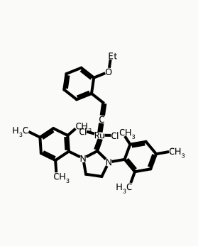 CCOc1ccccc1C=[C]=[Ru]([Cl])([Cl])=[C]1N(c2c(C)cc(C)cc2C)CCN1c1c(C)cc(C)cc1C